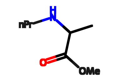 CCCNC(C)C(=O)OC